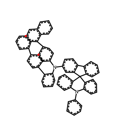 c1ccc(-c2ccc(-c3ccccc3N(c3ccc(-c4cccc5ccccc45)cc3)c3ccc4c(c3)C3(c5ccccc5-4)c4ccccc4N(c4ccccc4)c4ccccc43)cc2)cc1